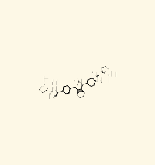 c1cc(-c2nnc(-c3ccc4[nH]c([C@@H]5CCCN5)nc4c3)c3c2C2CCC3CC2)ccc1-c1cnc([C@@H]2CCCN2)[nH]1